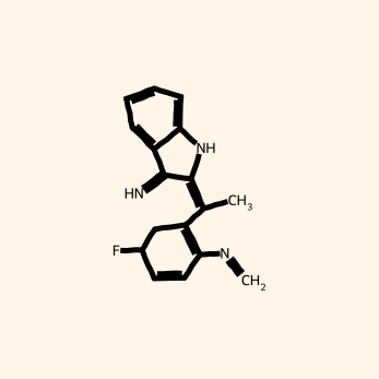 C=NC1=C(/C(C)=C2/Nc3ccccc3C2=N)CC(F)C=C1